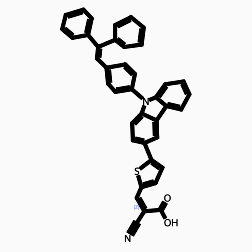 N#C/C(=C/c1ccc(-c2ccc3c(c2)c2ccccc2n3-c2ccc(C=C(c3ccccc3)c3ccccc3)cc2)s1)C(=O)O